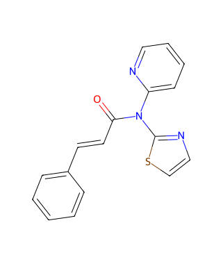 O=C(/C=C/c1ccccc1)N(c1ccccn1)c1nccs1